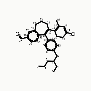 CCCC(CC)Cc1ccc(C2=C(C3=C(C)C=C(Cl)CC3)CCCc3cc(C=O)ccc32)cc1